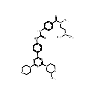 CC1CN(c2nc(-c3ccc(NC(=O)Nc4ccc(C(=O)N(C)CCN(C)C)cc4)cc3)nc(N3CCOCC3)n2)CCO1